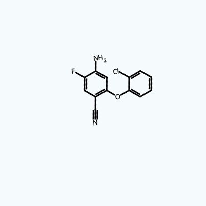 N#Cc1cc(F)c(N)cc1Oc1ccccc1Cl